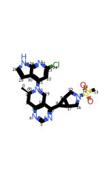 C[C@@H]1Cc2ncnc(C3C4CN(S(C)(=O)=O)CC43)c2CN1c1cc(Cl)nc2[nH]ccc12